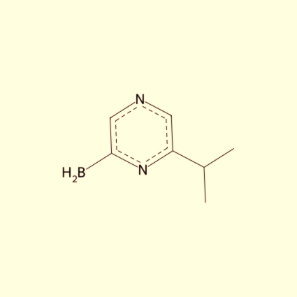 Bc1cncc(C(C)C)n1